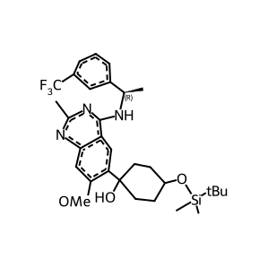 COc1cc2nc(C)nc(N[C@H](C)c3cccc(C(F)(F)F)c3)c2cc1C1(O)CCC(O[Si](C)(C)C(C)(C)C)CC1